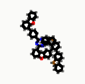 c1ccc(-c2nc(-c3ccc(-c4cccc5c4oc4ccccc45)cc3)nc(-c3cccc4oc5ccc(-c6c(-c7ccc8c(c7)sc7ccccc78)ccc7sc8ccccc8c67)cc5c34)n2)cc1